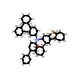 c1ccc(-c2ccc(N(c3ccc4c5ccccc5c5ccccc5c4c3)c3cc4sc5ccccc5c4cc3-c3ccccc3)cc2)cc1